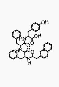 O=C(Cc1ccc2ccccc2c1)NC(Cc1ccccc1)C(=O)N[C@@H](Cc1ccccc1)C(=O)NC(Cc1ccc(O)cc1)C(=O)O